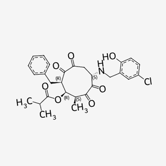 CC(C)C(=O)O[C@@H]1[C@H](C)C(=O)C(=O)[C@@H](NCc2cc(Cl)ccc2O)CC(=O)C(=O)[C@@H]1Cc1ccccc1